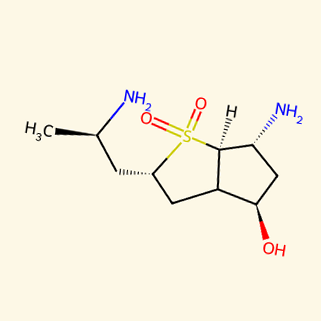 C[C@@H](N)C[C@H]1CC2[C@H](O)C[C@@H](N)[C@@H]2S1(=O)=O